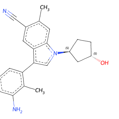 Cc1cc2c(cc1C#N)c(-c1cccc(N)c1C)cn2[C@H]1CC[C@H](O)C1